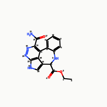 CCOC(=O)C1Nc2ccccc2-c2c(C(N)=O)nnc3[nH]cc1c23